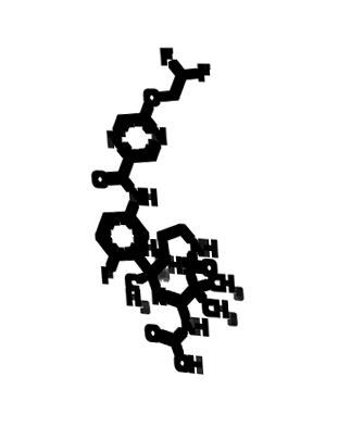 CC1(C)C(NC(=O)O)=N[C@](C)(c2cc(NC(=O)c3cnc(OCC(F)F)cn3)ccc2F)[C@@H]2CCN[SH]21=O